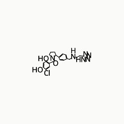 O=C(c1cc(Cl)c(O)cc1O)N1CCCC1c1ccc(CNCCc2nnn[nH]2)cc1